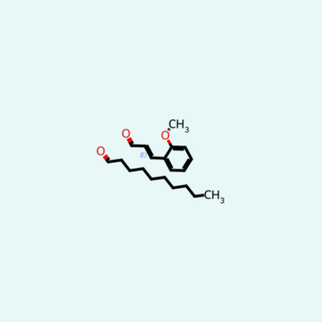 CCCCCCCCCC=O.COc1ccccc1/C=C/C=O